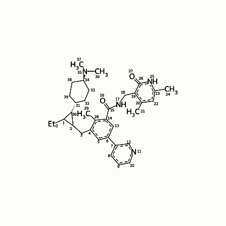 CCC1C(Cc2cc(-c3cccnc3)cc(C(=O)NCc3c(C)cc(C)[nH]c3=O)c2C)C1[C@H]1CC[C@H](N(C)C)CC1